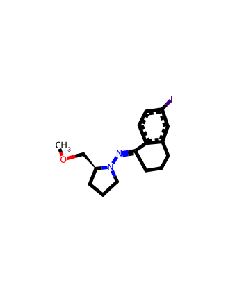 COC[C@@H]1CCCN1N=C1CCCc2cc(I)ccc21